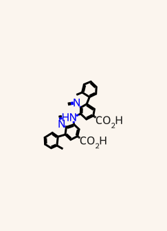 C=Nc1c(Nc2cc(C(=O)O)cc(-c3ccccc3C)c2N=C)cc(C(=O)O)cc1-c1ccccc1C